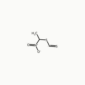 CC(S[C]=S)[N+](=O)[O-]